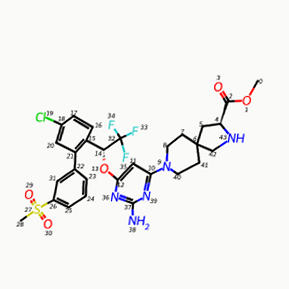 COC(=O)[C@@H]1CC2(CCN(c3cc(O[C@H](c4ccc(Cl)cc4-c4cccc(S(C)(=O)=O)c4)C(F)(F)F)nc(N)n3)CC2)CN1